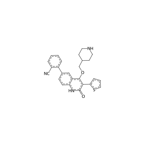 N#Cc1ccccc1-c1ccc2[nH]c(=O)c(-c3cccs3)c(OCC3CCNCC3)c2c1